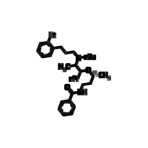 CCCCN(CCCc1ccccc1CC)C(C)C(CCC)O[C@H](C)CCNC(=O)c1ccccc1